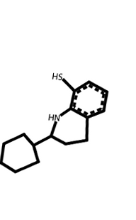 Sc1cccc2c1NC(C1CCCCC1)CC2